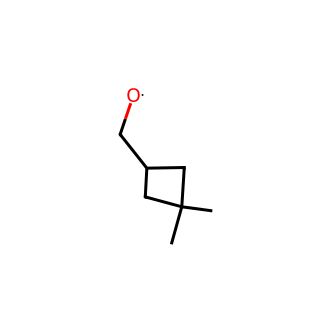 CC1(C)CC(C[O])C1